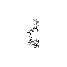 CC(=CCOCP(=O)(O)CP(=O)(O)O)CCC=C(C)CCCC(C)C